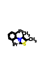 CC1=C(C)N(c2c(C(C)C)cccc2C(C)C)[C]S1